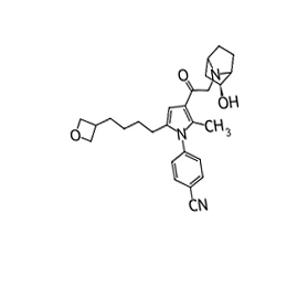 Cc1c(C(=O)CN2C3CCC2[C@@H](O)C3)cc(CCCCC2COC2)n1-c1ccc(C#N)cc1